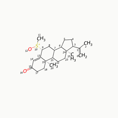 C=C(C)C1CCC2C3C[C@@H]([S+](C)[O-])C4=CC(=O)CC[C@]4(C)C3CC[C@]12C